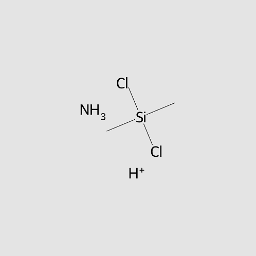 C[Si](C)(Cl)Cl.N.[H+]